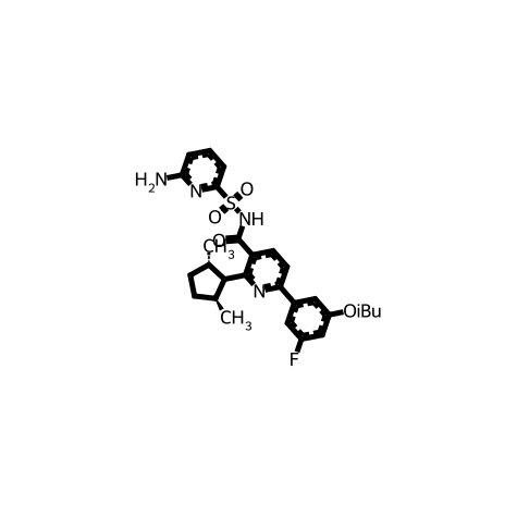 CC(C)COc1cc(F)cc(-c2ccc(C(=O)NS(=O)(=O)c3cccc(N)n3)c(C3[C@@H](C)CC[C@@H]3C)n2)c1